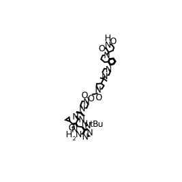 CC(C)(C1CCN(C(=O)COC(=O)N2CCN(c3cnc(-c4c(-c5nn(C(C)(C)C)c6ncnc(N)c56)noc4C4CC4)nc3)CC2)CC1)N1CCN(c2cccc3c2CCCN3C2CCC(=O)NC2=O)CC1